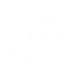 CCN(C=C(C#N)C(O)C#N)c1ccnc(N2CCCC2)n1